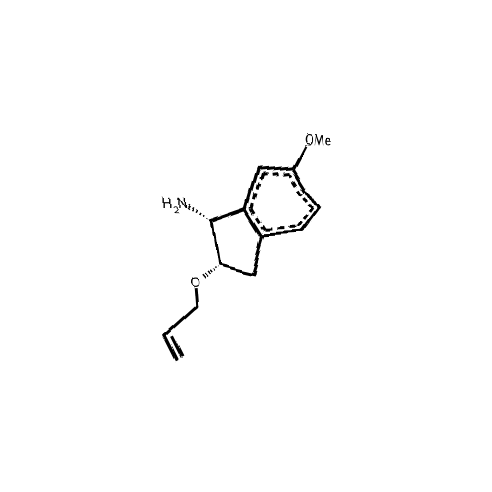 C=CCO[C@H]1Cc2ccc(OC)cc2[C@H]1N